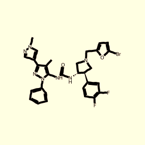 Cc1c(-c2cnn(C)c2)nn(-c2ccccc2)c1NC(=O)N[C@@H]1CN(Cc2ccc(Br)o2)C[C@H]1c1ccc(F)c(F)c1